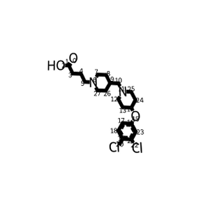 O=C(O)CCCN1CCC(CN2CCC(Oc3ccc(Cl)c(Cl)c3)CC2)CC1